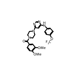 COc1ccc(C(=O)N2CCN(c3cc(Nc4ccc(OC(F)(F)F)cc4)ncn3)CC2)cc1OC